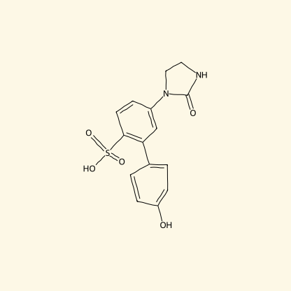 O=C1NCCN1c1ccc(S(=O)(=O)O)c(-c2ccc(O)cc2)c1